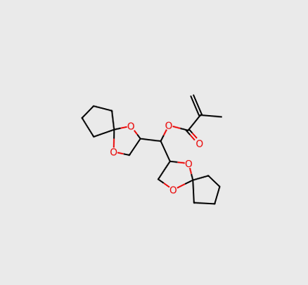 C=C(C)C(=O)OC(C1COC2(CCCC2)O1)C1COC2(CCCC2)O1